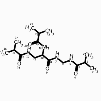 CC(C)C(=O)NCNC(=O)C(CNC(=O)C(C)C)NC(=O)C(C)C